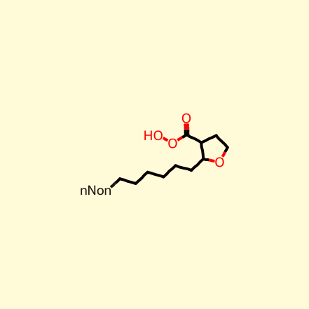 CCCCCCCCCCCCCCCC1OCCC1C(=O)OO